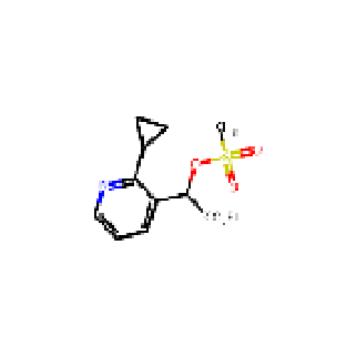 CCOC(=O)C(OS(C)(=O)=O)c1cccnc1C1CC1